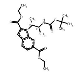 CCOC(=O)c1ccc2cc(C(=O)OCC)n([C@H](C)[C@H](C)NC(=O)OC(C)(C)C)c2n1